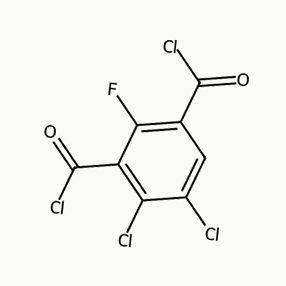 O=C(Cl)c1cc(Cl)c(Cl)c(C(=O)Cl)c1F